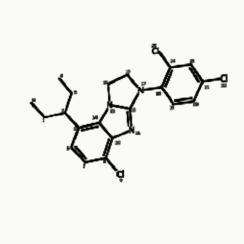 CCC(CC)c1ccc(Cl)c2nc3n(c12)CCN3c1ccc(Cl)cc1Cl